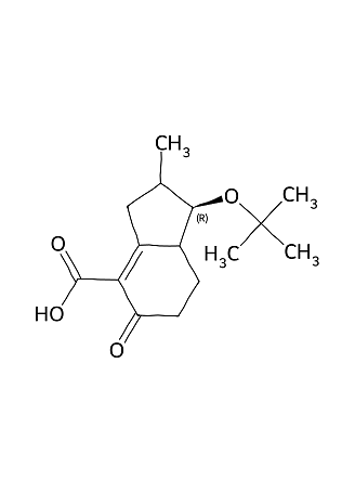 CC1CC2=C(C(=O)O)C(=O)CCC2[C@@H]1OC(C)(C)C